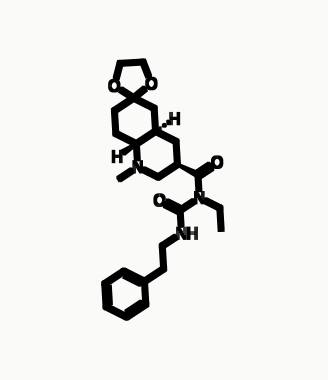 CCN(C(=O)NCCc1ccccc1)C(=O)[C@@H]1C[C@@H]2CC3(CC[C@H]2N(C)C1)OCCO3